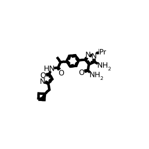 CC(C(=O)Nc1cc(CC23CC(C2)C3)no1)c1ccc(-c2nn(C(C)C)c(N)c2C(N)=O)cc1